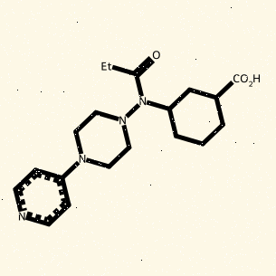 CCC(=O)N(C1CCCC(C(=O)O)C1)N1CCN(c2ccncc2)CC1